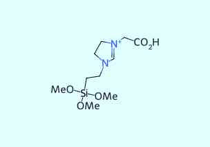 CO[Si](CCN1C=[N+](CC(=O)O)CC1)(OC)OC